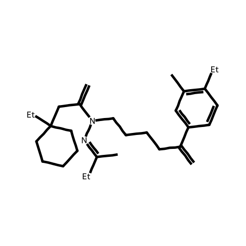 C=C(CCCCN(/N=C(\C)CC)C(=C)CC1(CC)CCCCC1)c1ccc(CC)c(C)c1